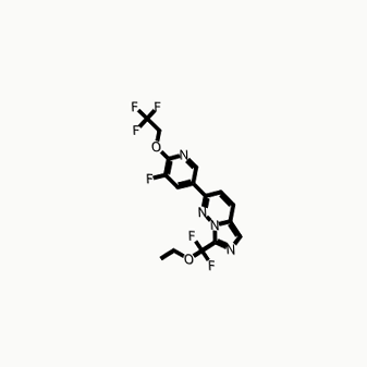 CCOC(F)(F)c1ncc2ccc(-c3cnc(OCC(F)(F)F)c(F)c3)nn12